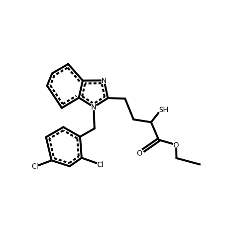 CCOC(=O)C(S)CCc1nc2ccccc2n1Cc1ccc(Cl)cc1Cl